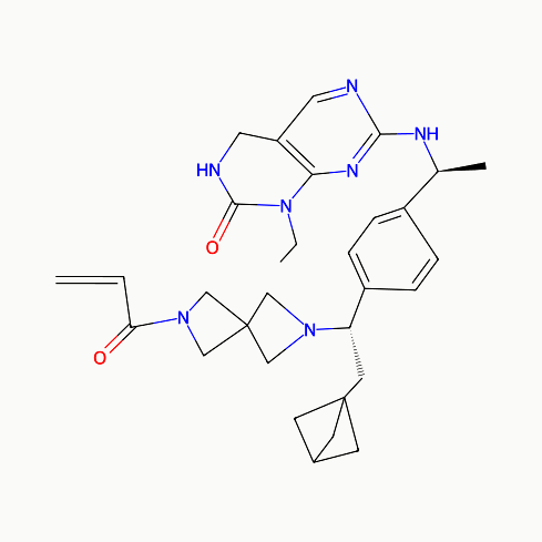 C=CC(=O)N1CC2(C1)CN([C@@H](CC13CC(C1)C3)c1ccc([C@H](C)Nc3ncc4c(n3)N(CC)C(=O)NC4)cc1)C2